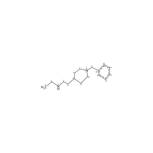 CCNCCC1CCN(Cc2ccccc2)CC1